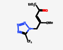 CCOC(=O)C(=O)C=C(Cn1nnnc1C(F)(F)F)OC